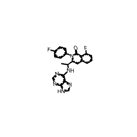 CC(Nc1ncnc2[nH]cnc12)c1cc2cccc(F)c2c(=O)n1-c1ccc(F)cc1